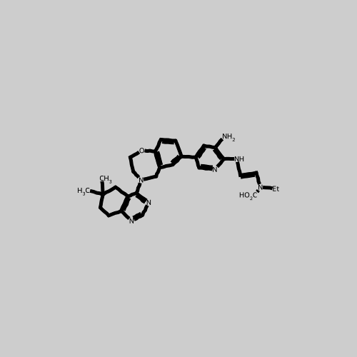 CCN(C=CNc1ncc(-c2ccc3c(c2)CN(c2ncnc4c2CC(C)(C)CC4)CCO3)cc1N)C(=O)O